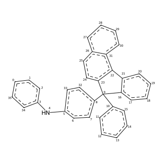 c1ccc(Nc2ccc(C3(c4ccccc4)c4ccccc4-c4c3ccc3ccccc43)cc2)cc1